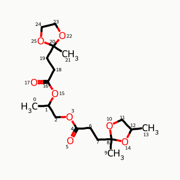 CC(COC(=O)CCC1(C)OCC(C)O1)OC(=O)CCC1(C)OCCO1